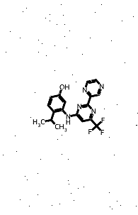 CC(C)c1ccc(O)cc1Nc1cc(C(F)(F)F)nc(-c2cnccn2)n1